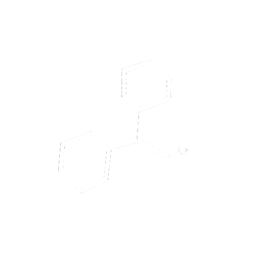 FC(F)(F)[C]=C(c1ccccc1)c1ccccc1